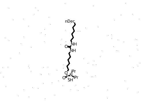 CCCCCCCCCCCCCCCCNC(=O)NCCCCCCOP(=O)(S)N(C(C)C)C(C)C